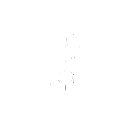 O=c1cc(COc2ccccc2C(F)(F)F)[nH]nc1O